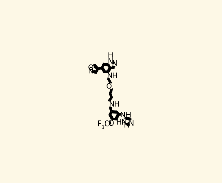 FC(F)(F)Oc1cc(CNCCCCOCCNc2cc(-c3cnoc3)cc3[nH]ncc23)cc(Nc2cnn[nH]2)c1